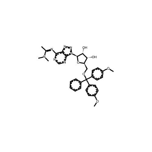 COc1ccc(C(OC[C@H]2O[C@@H](n3nnc4c(N=C(C)N(C)C)ncnc43)[C@H](O)[C@@H]2O)(c2ccccc2)c2ccc(OC)cc2)cc1